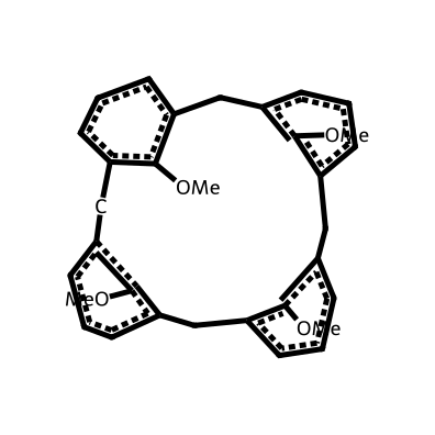 COc1c2cccc1Cc1cccc(c1OC)Cc1cccc(c1OC)Cc1cccc(c1OC)C2